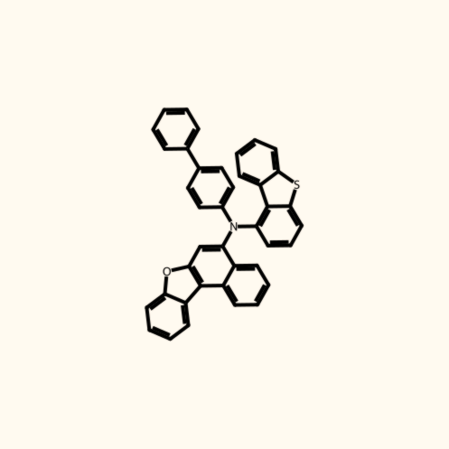 c1ccc(-c2ccc(N(c3cc4oc5ccccc5c4c4ccccc34)c3cccc4sc5ccccc5c34)cc2)cc1